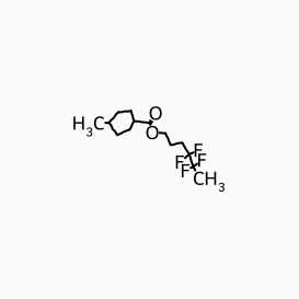 CC1CCC(C(=O)OCCCC(F)(F)C(C)(F)F)CC1